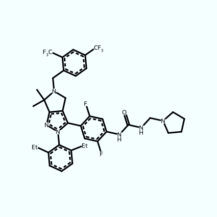 CCc1cccc(CC)c1-n1nc2c(c1-c1cc(F)c(NC(=O)NCN3CCCC3)cc1F)CN(Cc1ccc(C(F)(F)F)cc1C(F)(F)F)C2(C)C